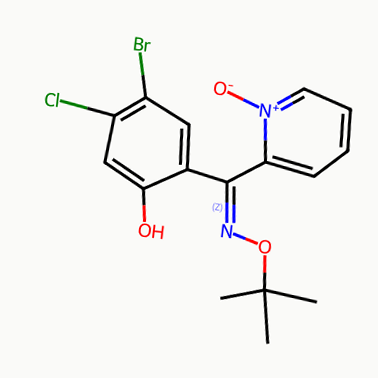 CC(C)(C)O/N=C(/c1cc(Br)c(Cl)cc1O)c1cccc[n+]1[O-]